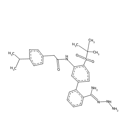 CC(C)c1ccc(CC(=O)Nc2cc(-c3ccccc3/C(N)=N/NN)ccc2S(=O)(=O)C(C)(C)C)cc1